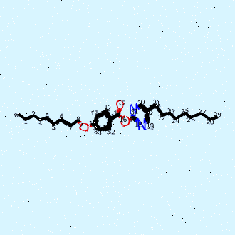 CCCCCCCCCOc1ccc(C(=O)Oc2ncc(CCCCCCCCC)cn2)cc1